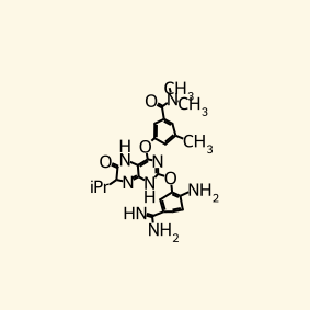 Cc1cc(OC2=C3NC(=O)C(C(C)C)N=C3NC(Oc3cc(C(=N)N)ccc3N)=N2)cc(C(=O)N(C)C)c1